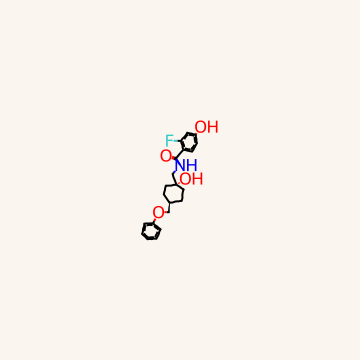 O=C(NC[C@]1(O)CC[C@H](COc2ccccc2)CC1)c1ccc(O)cc1F